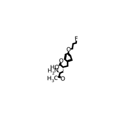 CC(=O)[C@H](N)C[C@@H](Cc1ccc(OCCCF)cc1)C(=O)O